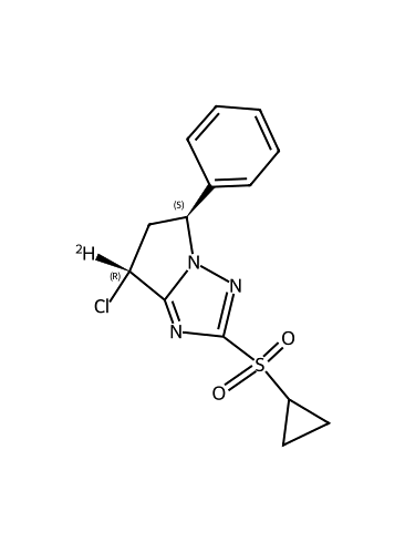 [2H][C@@]1(Cl)C[C@@H](c2ccccc2)n2nc(S(=O)(=O)C3CC3)nc21